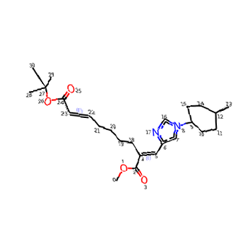 COC(=O)/C(=C/c1cn(C2CCC(C)CC2)cn1)CCCC/C=C/C(=O)OC(C)(C)C